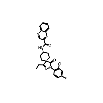 CCC1=NN(c2ccc(F)cc2Cl)C(=O)[C@]12CC[C@H](NC(=O)c1cnc3ccccc3n1)CC2